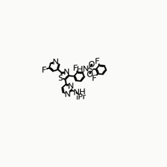 CC(C)Nc1nccc(-c2sc(-c3cncc(F)c3)nc2-c2cccc(NS(=O)(=O)c3c(F)cccc3F)c2F)n1